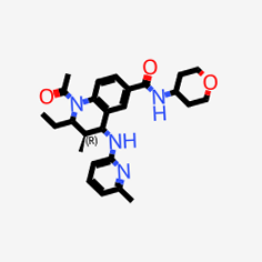 CCC1[C@H](C)C(Nc2cccc(C)n2)c2cc(C(=O)NC3CCOCC3)ccc2N1C(C)=O